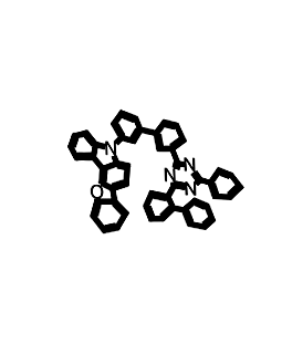 c1ccc(-c2nc(-c3cccc(-c4cccc(-n5c6ccccc6c6c7oc8ccccc8c7ccc65)c4)c3)nc(-c3ccccc3-c3ccccc3)n2)cc1